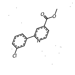 COC(=O)c1ccnc(-c2cccc(Cl)c2)c1